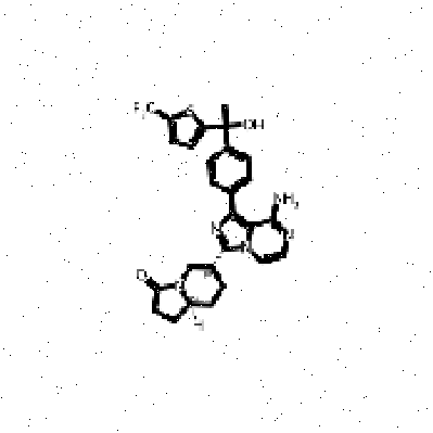 CC(O)(c1ccc(-c2nc([C@@H]3CC[C@H]4CCC(=O)N4C3)n3ccnc(N)c23)cc1)c1ccc(C(F)(F)F)s1